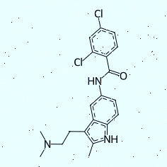 Cc1[nH]c2ccc(NC(=O)c3ccc(Cl)cc3Cl)cc2c1CCN(C)C